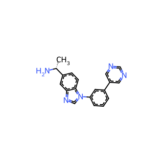 C[C@@H](N)c1ccc2c(c1)ncn2-c1cccc(-c2cncnc2)c1